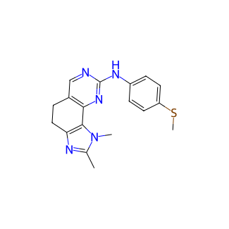 CSc1ccc(Nc2ncc3c(n2)-c2c(nc(C)n2C)CC3)cc1